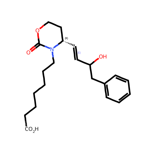 O=C(O)CCCCCCN1C(=O)OCC[C@@H]1/C=C/C(O)Cc1ccccc1